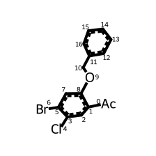 CC(=O)c1cc(Cl)c(Br)cc1OCc1ccccc1